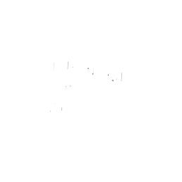 B.[Fe].[Nd].[Ni].[Zn]